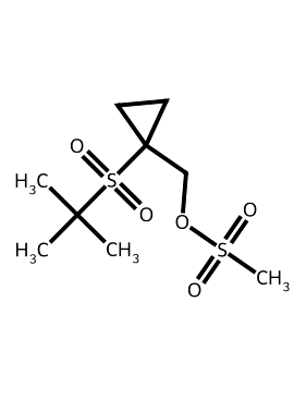 CC(C)(C)S(=O)(=O)C1(COS(C)(=O)=O)CC1